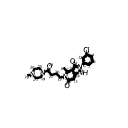 Cc1c2c(=O)n(-c3cccc(Cl)c3)[nH]c2cc(=O)n1CCCC(=O)N1CCN(C)CC1